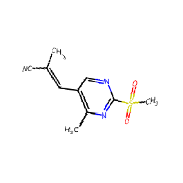 C/C(C#N)=C\c1cnc(S(C)(=O)=O)nc1C